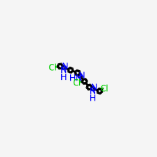 Clc1cccc(-c2nc3cc(-c4ccc(-c5nc6ccc(-c7ccc(-c8nc9ccc(Cl)cc9[nH]8)cc7)cc6[nH]5)c(Cl)c4)ccc3[nH]2)c1